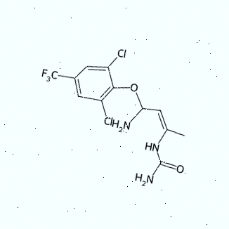 C/C(=C/C(N)Oc1c(Cl)cc(C(F)(F)F)cc1Cl)NC(N)=O